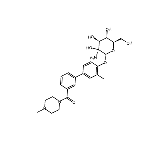 Cc1cc(-c2cccc(C(=O)N3CCN(C)CC3)c2)ccc1O[C@H]1O[C@H](CO)[C@@H](O)[C@H](O)[C@]1(N)O